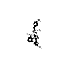 COc1cccc(OC)c1-n1c(NS(=O)(=O)[C@@H](C)Cc2ccc(C)cn2)nnc1-c1ccc(C)o1